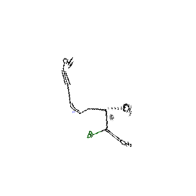 C=C(Br)[C@@H](C)C/C=C\C#CC